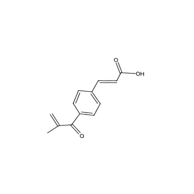 C=C(C)C(=O)c1ccc(/C=C/C(=O)O)cc1